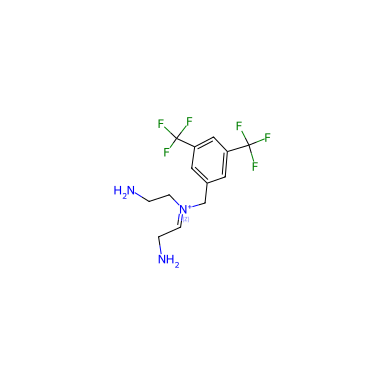 NC/C=[N+](\CCN)Cc1cc(C(F)(F)F)cc(C(F)(F)F)c1